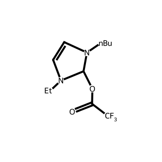 CCCCN1C=CN(CC)C1OC(=O)C(F)(F)F